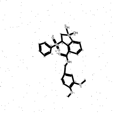 COc1ccc(CNC(=O)c2cccc3c2C(S(=O)(=O)c2ccccc2)CS3(O)O)cc1OC